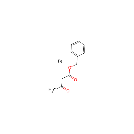 CC(=O)CC(=O)OCc1ccccc1.[Fe]